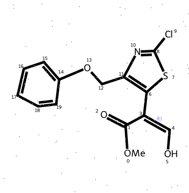 COC(=O)/C(=C\O)c1sc(Cl)nc1COc1ccccc1